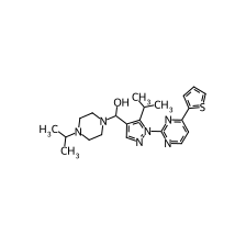 CC(C)c1c(C(O)N2CCN(C(C)C)CC2)cnn1-c1nccc(-c2cccs2)n1